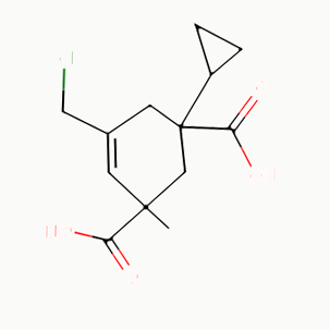 CC1(C(=O)O)C=C(CCl)CC(C(=O)O)(C2CC2)C1